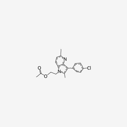 CC(=O)OCCn1c(C)c(-c2ccc(Cl)cc2)c2nc(C)ccc21